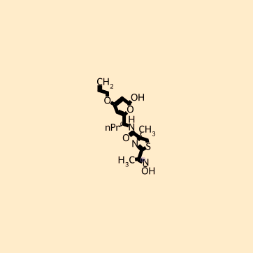 C=CCOC1=CC(O)OC([C@@H](CCC)NC(=O)[C@@]2(C)CSC(/C(C)=N/O)=N2)=C1